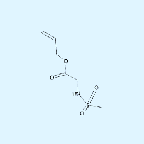 C=CCOC(=O)CNS(C)(=O)=O